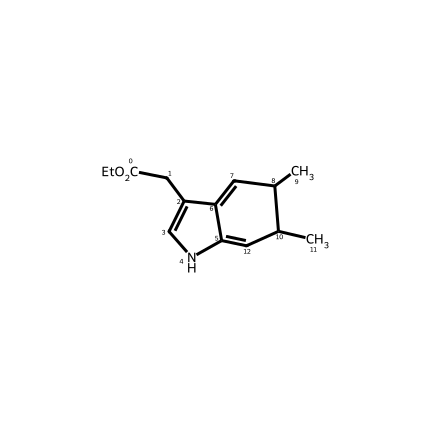 CCOC(=O)Cc1c[nH]c2c1=CC(C)C(C)C=2